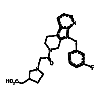 O=C(O)CC1CCN(CC(=O)N2CCc3c(n(Cc4cccc(F)c4)c4ncccc34)C2)C1